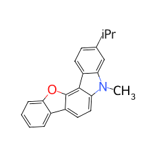 CC(C)c1ccc2c3c4oc5ccccc5c4ccc3n(C)c2c1